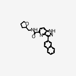 O=C(NCC1CCCO1)c1ccc2[nH]nc(-c3ccc4ccccc4c3)c2n1